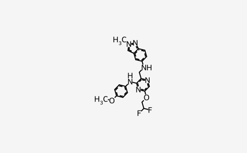 COc1ccc(Nc2nc(OCC(F)F)cnc2CNc2ccc3nn(C)cc3c2)cc1